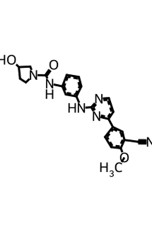 COc1ccc(-c2ccnc(Nc3cccc(NC(=O)N4CCC(O)C4)c3)n2)cc1C#N